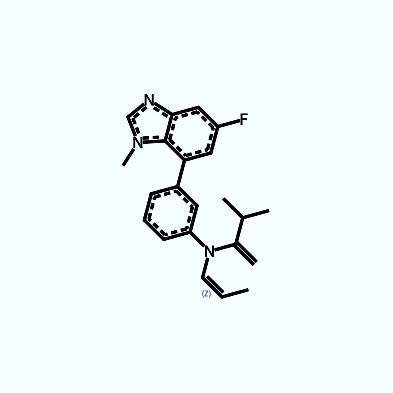 C=C(C(C)C)N(/C=C\C)c1cccc(-c2cc(F)cc3ncn(C)c23)c1